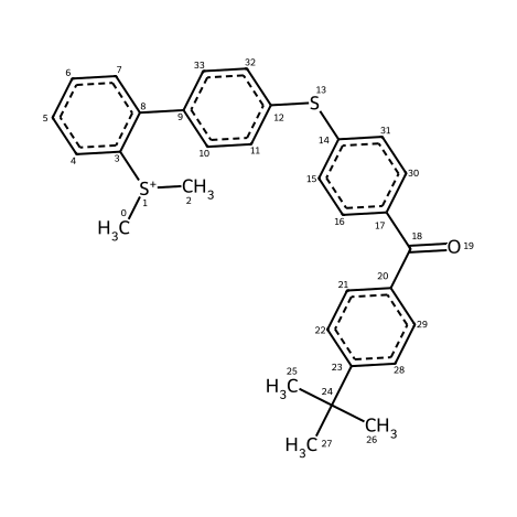 C[S+](C)c1ccccc1-c1ccc(Sc2ccc(C(=O)c3ccc(C(C)(C)C)cc3)cc2)cc1